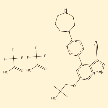 CC(C)(O)COc1cc(-c2ccc(N3CCCNCC3)nc2)c2c(C#N)cnn2c1.O=C(O)C(F)(F)F.O=C(O)C(F)(F)F